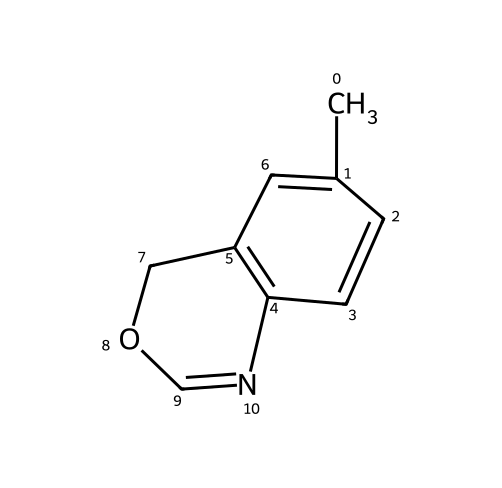 Cc1ccc2c(c1)COC=N2